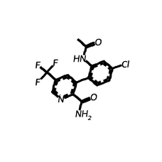 CC(=O)Nc1cc(Cl)ccc1-c1cc(C(F)(F)F)cnc1C(N)=O